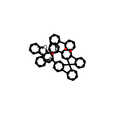 c1ccc(-c2ccccc2N(c2ccc3c(c2)C2(c4ccccc4-c4ccc(N(c5ccccc5)c5ccccc5)cc42)c2ccccc2-3)c2cccc3c2oc2ccccc23)cc1